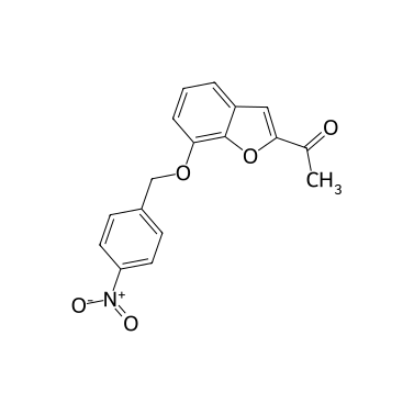 CC(=O)c1cc2cccc(OCc3ccc([N+](=O)[O-])cc3)c2o1